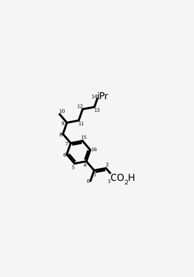 CC(=CC(=O)O)c1ccc(CC(C)CCCC(C)C)cc1